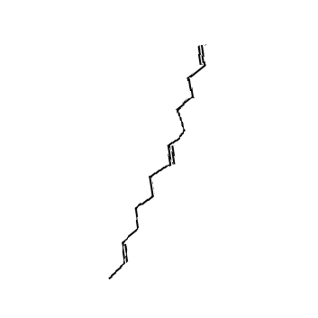 [CH]=CCCCCC=CCCCCC=CC